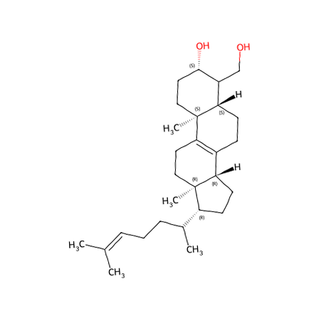 CC(C)=CCCC(C)[C@H]1CC[C@H]2C3=C(CC[C@]12C)[C@@]1(C)CC[C@H](O)C(CO)[C@@H]1CC3